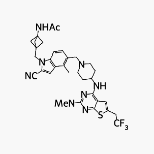 CNc1nc(NC2CCN(Cc3ccc4c(cc(C#N)n4CC45CC(NC(C)=O)(C4)C5)c3C)CC2)c2cc(CC(F)(F)F)sc2n1